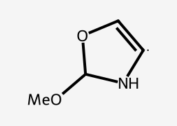 COC1N[C]=CO1